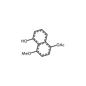 COc1ccc(OC(C)=O)c2cccc(O)c12